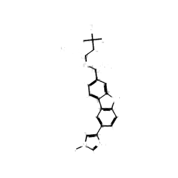 Cn1cnc(-c2ccc3oc4cc([C@H](N[C@@H](CC(C)(C)F)C(=O)O)C(F)(F)F)ccc4c3c2)c1